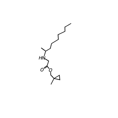 CCCCCCCC(C)NCC(=O)OCC1(C)CC1